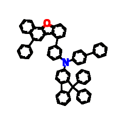 c1ccc(-c2ccc(N(c3cccc(-c4cccc5oc6c7ccccc7c(-c7ccccc7)cc6c45)c3)c3ccc4c(c3)C(c3ccccc3)(c3ccccc3)c3ccccc3-4)cc2)cc1